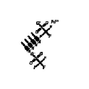 CC#N.CC#N.CC#N.CC#N.O=S(=O)([O-])C(F)(F)F.O=S(=O)([O-])C(F)(F)F.[Pd+2]